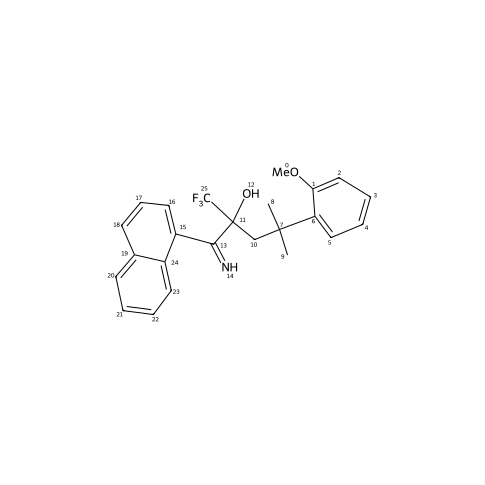 COc1ccccc1C(C)(C)CC(O)(C(=N)c1cccc2ccccc12)C(F)(F)F